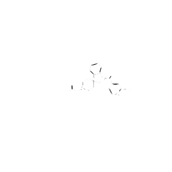 O=C(c1ccnc(Cl)c1)N1CC2(CCN(OC(=O)C(F)(F)F)CC2)c2ccccc21